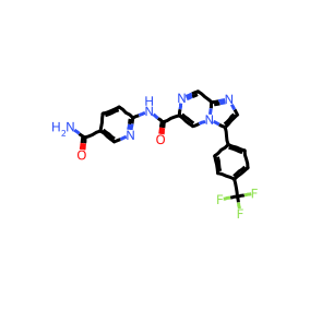 NC(=O)c1ccc(NC(=O)c2cn3c(-c4ccc(C(F)(F)F)cc4)cnc3cn2)nc1